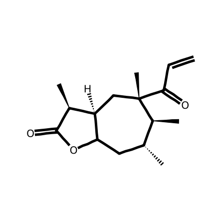 C=CC(=O)[C@@]1(C)C[C@H]2C(C[C@@H](C)[C@@H]1C)OC(=O)[C@H]2C